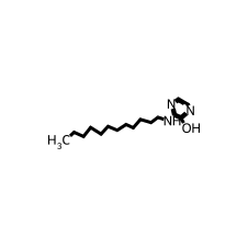 CCCCCCCCCCCCNc1nccnc1O